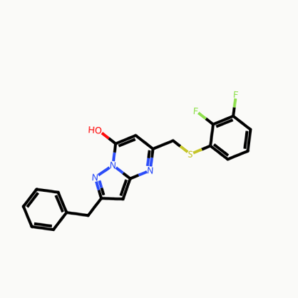 Oc1cc(CSc2cccc(F)c2F)nc2cc(Cc3ccccc3)nn12